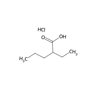 CCCC(CC)C(=O)O.Cl